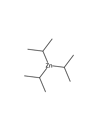 C[CH](C)[Zn]([CH](C)C)[CH](C)C